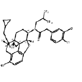 CC(C)CN(C(=O)Cc1ccc(Cl)c(Cl)c1)[C@@H]1CC[C@H]2[C@H]3Cc4c(O)ccc5c4[C@@]2(CCN3CC2CC2)[C@H]1O5